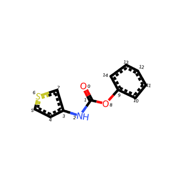 O=C(Nc1ccsc1)Oc1ccccc1